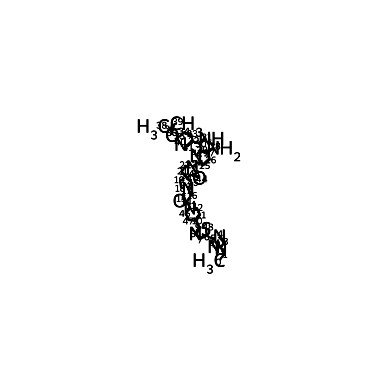 CCn1cnc(-c2cnc(C3=CCN(C(=O)CN4CC[C@]5(CCN(c6ccc(N)c(C(=N)c7ccc(OC(C)C)nc7)n6)C5=O)C4)CC3)s2)n1